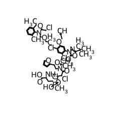 C#CCOc1cc(-n2nc(C(C)(C)C)oc2=O)c(Cl)cc1Cl.CC1(C)OC(c2ccco2)CN1C(=O)C(Cl)Cl.CCOCN(C(=O)CCl)c1c(C)cccc1CC.CP(=O)(O)CCC(N)C(=O)O